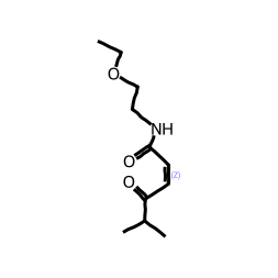 CCOCCNC(=O)/C=C\C(=O)C(C)C